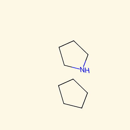 C1CCCC1.C1CCNC1